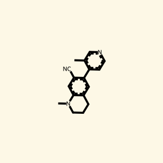 Cc1cnccc1-c1cc2c(cc1C#N)N(C)CCC2